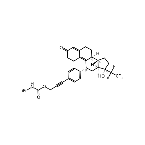 CC(C)NC(=O)OCC#Cc1ccc([C@H]2C[C@@]3(C)[C@@H](CC[C@@]3(O)C(F)(F)C(F)(F)F)[C@@H]3CCC4=CC(=O)CCC4=C32)cc1